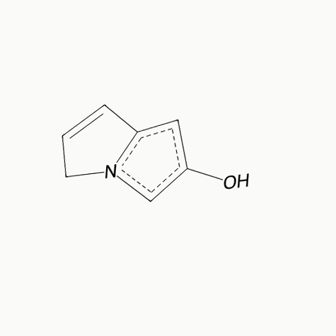 Oc1cc2n(c1)CC=C2